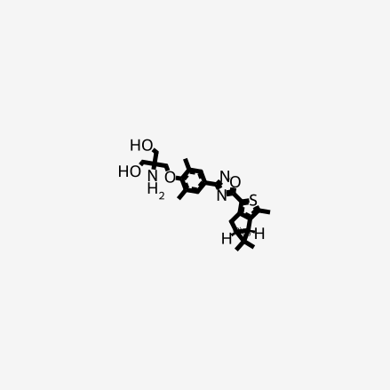 Cc1cc(-c2noc(-c3sc(C)c4c3C[C@@H]3[C@H]4C3(C)C)n2)cc(C)c1OCC(N)(CO)CO